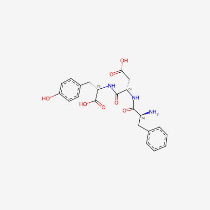 N[C@@H](Cc1ccccc1)C(=O)N[C@@H](CC(=O)O)C(=O)N[C@@H](Cc1ccc(O)cc1)C(=O)O